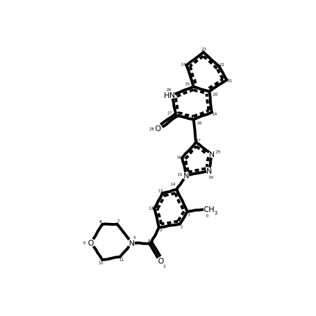 Cc1cc(C(=O)N2CCOCC2)ccc1-n1cc(-c2cc3ccccc3[nH]c2=O)nn1